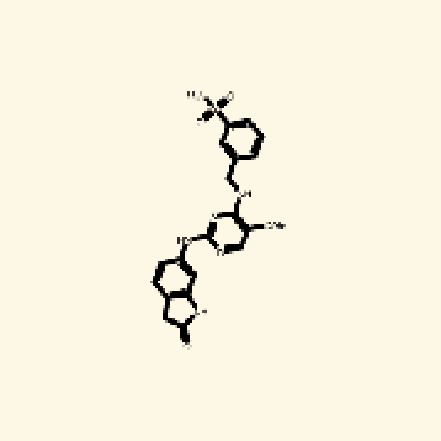 COc1cnc(Nc2ccc3c(c2)NC(=O)C3)nc1NCc1cccc(S(C)(=O)=O)c1